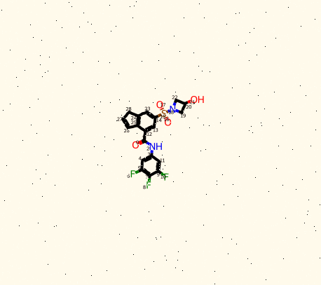 O=C(Nc1cc(F)c(F)c(F)c1)c1cc(S(=O)(=O)N2CC(O)C2)cc2c1C=CC2